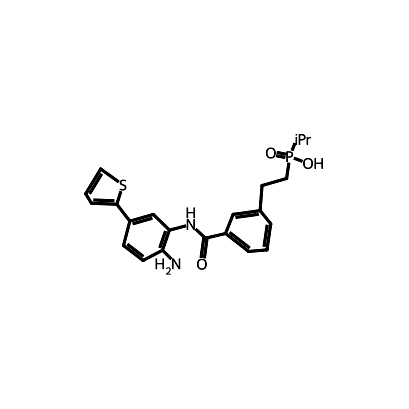 CC(C)P(=O)(O)CCc1cccc(C(=O)Nc2cc(-c3cccs3)ccc2N)c1